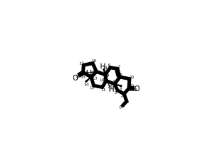 CCC1C[C@@]2(C)C(=CC[C@@H]3[C@@H]2CC[C@]2(C)C(=O)CC[C@@H]32)CC1=O